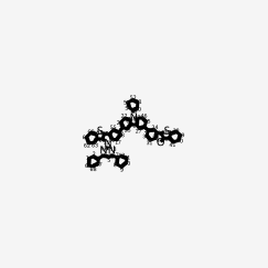 c1ccc(-c2cc(-c3ccccc3)nc(N3c4ccc(-c5ccc6c(c5)c5cc(-c7ccc8c(c7)C7Sc9ccccc9C7O8)ccc5n6-c5ccccc5)cc4C4Sc5ccccc5C43)n2)cc1